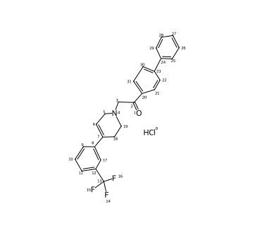 Cl.O=C(CN1CC=C(c2cccc(C(F)(F)F)c2)CC1)c1ccc(-c2ccccc2)cc1